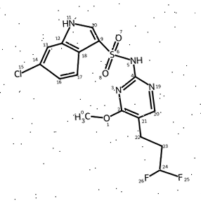 COc1nc(NS(=O)(=O)c2c[nH]c3cc(Cl)ccc23)ncc1CCC(F)F